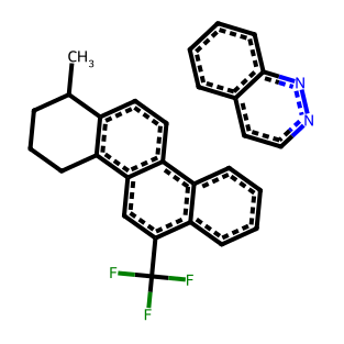 CC1CCCc2c1ccc1c2cc(C(F)(F)F)c2ccccc21.c1ccc2nnccc2c1